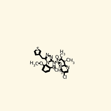 COc1cccc(OC)c1-n1c(Cc2ccsc2)nnc1NS(=O)(=O)[C@@H](C)[C@H](C)c1ncc(Cl)cn1